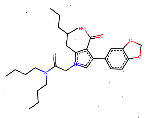 CCCCN(CCCC)C(=O)Cn1cc(-c2ccc3c(c2)OCO3)c(C(=O)O)c1CC(C)CCC